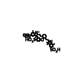 Cc1cc(S(=O)(=O)O)cc2c1N(C)/C(=C/C=C1\CCCC(/C=C/C3=[N+](C)c4c(C)cc(SOO[O-])cc4C3(C)C)=C1Oc1ccc(S(=O)(=O)O)cc1)C2(C)C